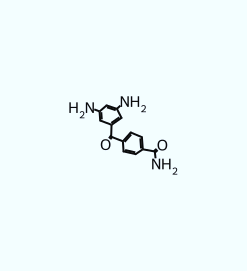 NC(=O)c1ccc(C(=O)c2cc(N)cc(N)c2)cc1